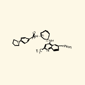 CCCCCCCCCc1ccc2nc(C(F)(F)F)cc(N[C@H]3CCC[C@@H](NC(=O)c4ccc(N5CCCC5)cc4)C3)c2c1